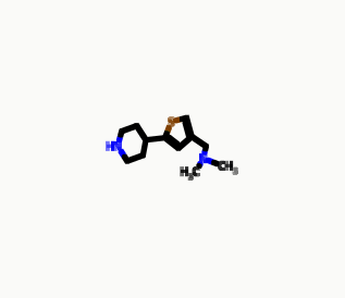 CN(C)Cc1csc(C2CCNCC2)c1